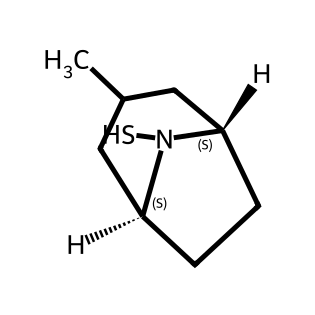 CC1C[C@@H]2CC[C@@H](C1)N2S